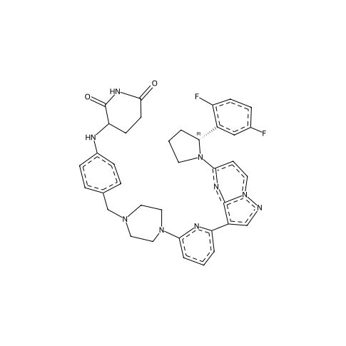 O=C1CCC(Nc2ccc(CN3CCN(c4cccc(-c5cnn6ccc(N7CCC[C@@H]7c7cc(F)ccc7F)nc56)n4)CC3)cc2)C(=O)N1